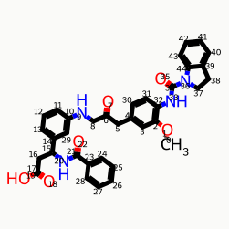 COc1cc(CC(=O)CNc2cccc(C(CC(=O)O)NC(=O)c3ccccc3)c2)ccc1NC(=O)N1CCc2ccccc21